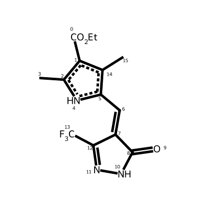 CCOC(=O)c1c(C)[nH]c(/C=C2/C(=O)NN=C2C(F)(F)F)c1C